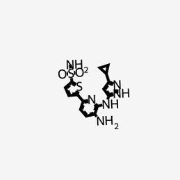 Nc1ccc(-c2ccc(S(N)(=O)=O)s2)nc1Nc1cc(C2CC2)n[nH]1